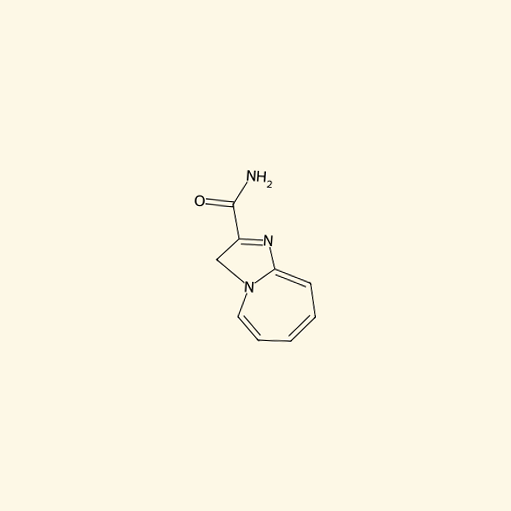 NC(=O)C1=NC2=CC=CC=CN2C1